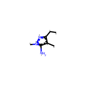 CCc1nn(C)c(N)c1C